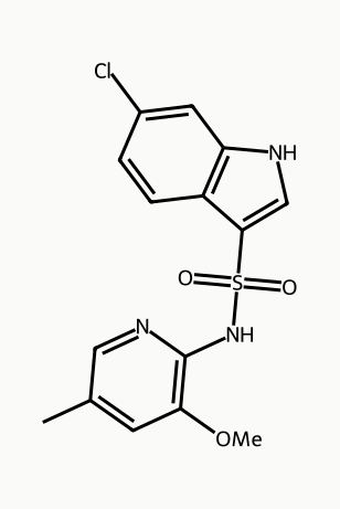 COc1cc(C)cnc1NS(=O)(=O)c1c[nH]c2cc(Cl)ccc12